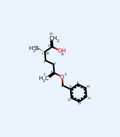 B[C@@H](CCC(=C)OCc1ccccc1)C(=C)O